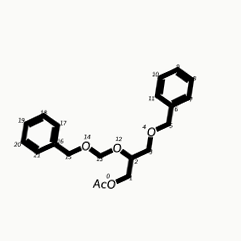 CC(=O)OCC(COCc1ccccc1)OCOCc1ccccc1